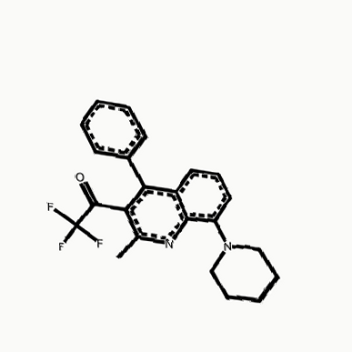 Cc1nc2c(N3CCCCC3)cccc2c(-c2ccccc2)c1C(=O)C(F)(F)F